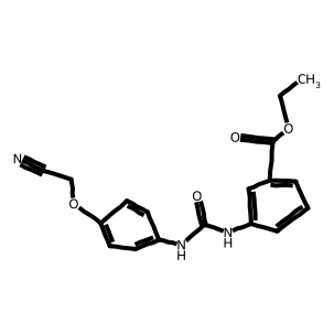 CCOC(=O)c1cccc(NC(=O)Nc2ccc(OCC#N)cc2)c1